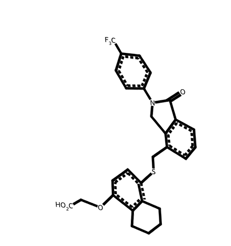 O=C(O)COc1ccc(SCc2cccc3c2CN(c2ccc(C(F)(F)F)cc2)C3=O)c2c1CCCC2